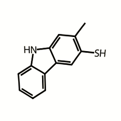 Cc1cc2[nH]c3ccccc3c2cc1S